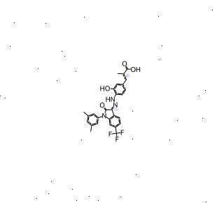 C/C(=C\c1ccc(N/N=C2\C(=O)N(c3cc(C)cc(C)c3)c3cc(C(F)(F)F)ccc32)c(O)c1)C(=O)O